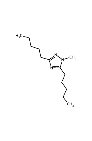 CCCCCc1nc(CCCCC)n(C)n1